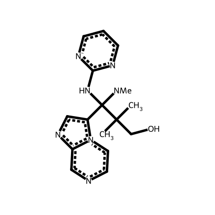 CNC(Nc1ncccn1)(c1cnc2cnccn12)C(C)(C)CO